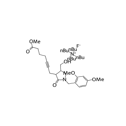 CCCC[N+](CCCC)(CCCC)CCCC.COC(=O)CCCC#CCC1C(=O)N(Cc2ccc(OC)cc2OC)CC1CO.[F-]